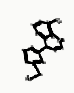 OCc1cccc(C2[C]=CNc3c2cccc3C(F)(F)F)c1